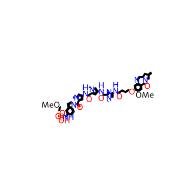 C=C1CC2C=Nc3cc(OCCCC(=O)Nc4cn(C)c(C(=O)Nc5cc(C(=O)Nc6cc(C(=O)n7ccc8cc(NP(=O)(O)OCCOC)ccc87)n(C)c6)n(C)c5)n4)c(OC)cc3C(=O)N2C1